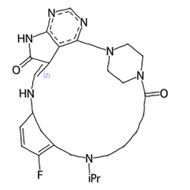 CC(C)N1CCCCC(=O)N2CCN(CC2)c2ncnc3c2/C(=C/NC2C=CC(F)=C(C2)C1)C(=O)N3